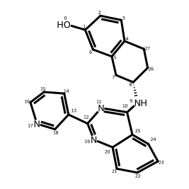 Oc1ccc2c(c1)C[C@@H](Nc1nc(-c3cccnc3)nc3ccccc13)CC2